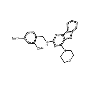 COc1ccc(CNc2nc(N3CCOCC3)c3oc4ccccc4c3n2)c(OC)c1